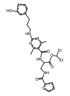 CCC(CC)OC(=O)C(CNC(=O)c1cccs1)NC(=O)c1c(C)nc(NCCCc2cccc(O)c2)nc1C